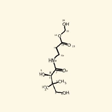 CC(C)(CO)[C@@H](O)C(=O)NCCC(=O)OCO